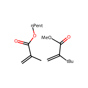 C=C(C(=O)OC)C(C)(C)C.C=C(C)C(=O)OCCCCC